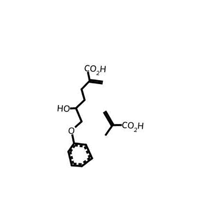 C=C(C)C(=O)O.C=C(CCC(O)COc1ccccc1)C(=O)O